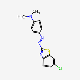 CN(C)c1ccc(N=Nc2nc3ccc(Cl)cc3s2)cc1